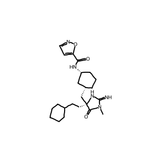 CN1C(=N)N[C@](CCC2CCCCC2)(C[C@H]2CCC[C@@H](NC(=O)c3ccno3)C2)C1=O